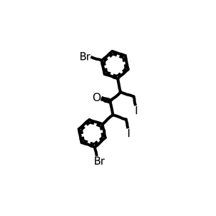 O=C(C(CI)c1cccc(Br)c1)C(CI)c1cccc(Br)c1